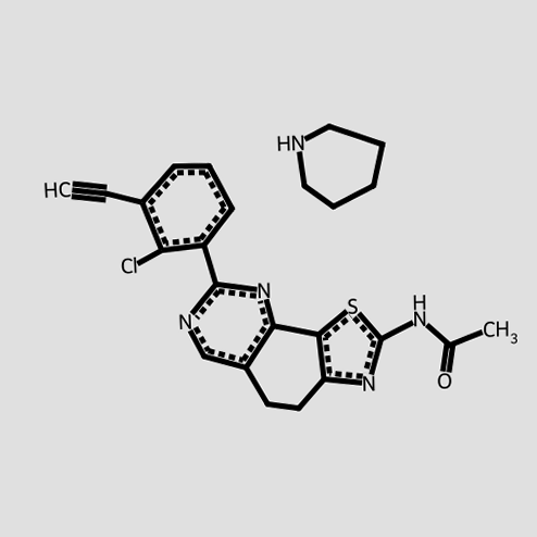 C#Cc1cccc(-c2ncc3c(n2)-c2sc(NC(C)=O)nc2CC3)c1Cl.C1CCNCC1